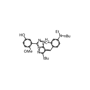 CCCCN(CC)c1ccc(/C=c2/c(C(C)(C)C)nn3c(-c4cc(O)ccc4OC)nnc23)c(C)c1